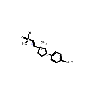 CCCCCCCCc1ccc([C@H]2CC[C@@](N)(/C=C/P(=O)(O)O)C2)cc1